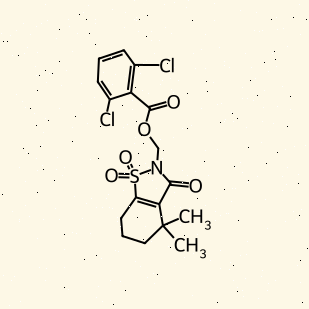 CC1(C)CCCC2=C1C(=O)N(COC(=O)c1c(Cl)cccc1Cl)S2(=O)=O